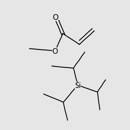 C=CC(=O)OC.CC(C)[Si](C(C)C)C(C)C